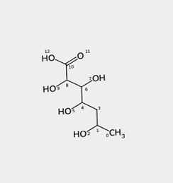 CC(O)CC(O)C(O)C(O)C(=O)O